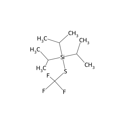 CC(C)[Si](SC(F)(F)F)(C(C)C)C(C)C